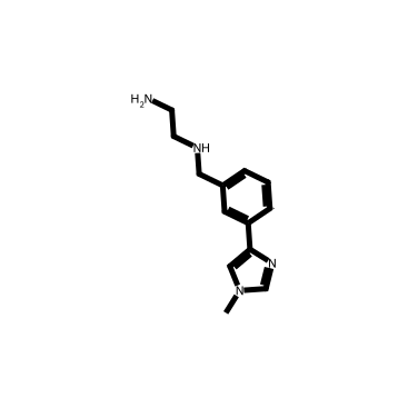 Cn1cnc(-c2[c]ccc(CNCCN)c2)c1